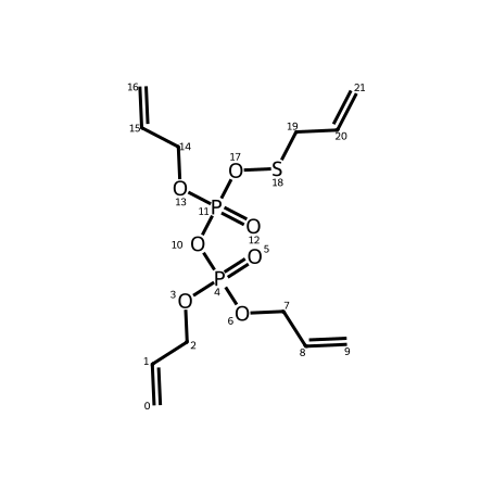 C=CCOP(=O)(OCC=C)OP(=O)(OCC=C)OSCC=C